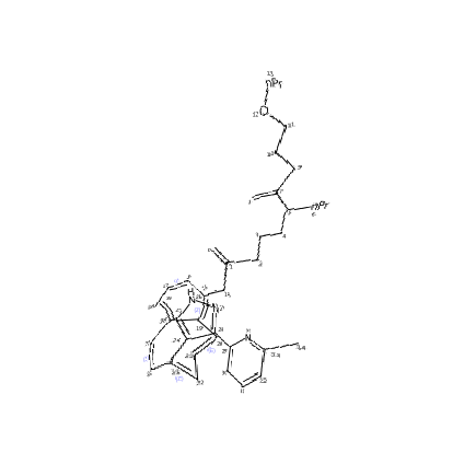 C=C(CCCC(CCC)C(=C)CCCOCCC)CC(/C=C\C)=C1\C=C\C=C(c2c[nH]nc2-c2cccc(C)n2)\C=C/C1=C